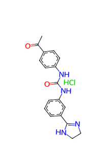 CC(=O)c1ccc(NC(=O)Nc2cccc(C3=NCCN3)c2)cc1.Cl